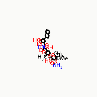 CO[C@@H]1[C@@H](OC(N)=O)[C@@H](O)[C@H](Oc2ccc3c(O)c(NC(=O)c4cc(-c5ccc6ccccc6c5)cc(O)c4O)c(=O)oc3c2C)OC1(C)C